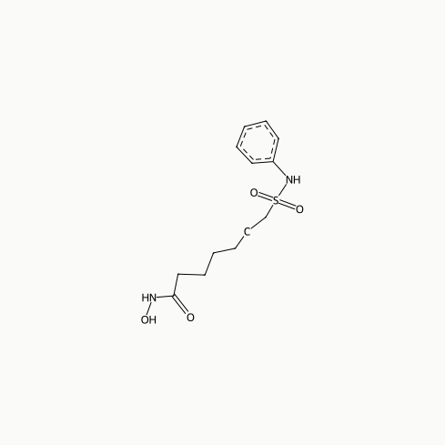 O=C(CCCCCCS(=O)(=O)Nc1ccccc1)NO